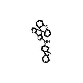 c1ccc2c(c1)Sc1ccccc1C21c2ccccc2-c2ccc(Nc3ccc4c(c3)sc3ccccc34)cc21